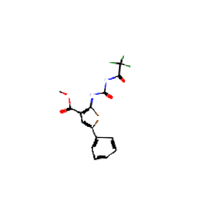 COC(=O)c1cc(-c2ccccc2)sc1NC(=O)NC(=O)C(Cl)(Cl)Cl